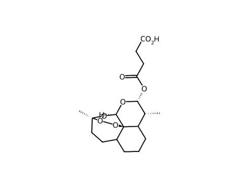 C[C@@H]1C2CCCC3CC[C@]4(C)OO[C@]32[C@H](O[C@@H]1OC(=O)CCC(=O)O)O4